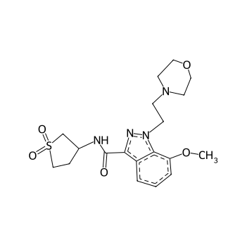 COc1cccc2c(C(=O)NC3CCS(=O)(=O)C3)nn(CCN3CCOCC3)c12